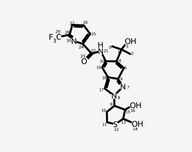 CC(C)(O)c1cc2nn(C3CCSC(O)C3O)cc2cc1NC(=O)c1cccc(C(F)(F)F)n1